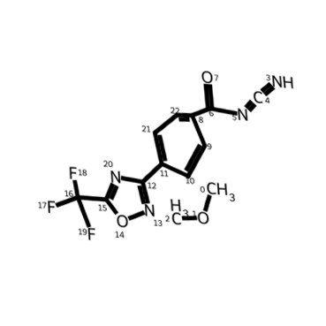 COC.N=C=NC(=O)c1ccc(-c2noc(C(F)(F)F)n2)cc1